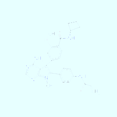 C=CC(=O)Nc1ccc(-c2c(-c3ccc(C(=O)NC4CCC4)c(OC)c3)c3c(N)ncnc3n2C)cc1